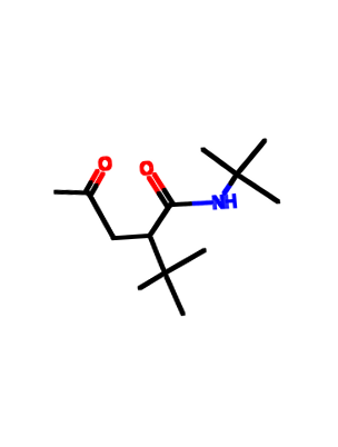 CC(=O)CC(C(=O)NC(C)(C)C)C(C)(C)C